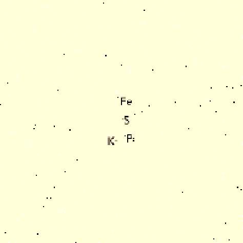 [Fe].[K].[P].[S]